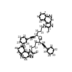 Cc1nc2cnc3ccccc3c2n1CCCC(C#Cc1ccccc1)OC(C#Cc1ccccc1)CCCn1c(C)nc2cnc3ccccc3c21